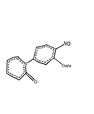 COc1cc(-n2ccccc2=O)ccc1N=O